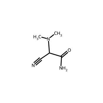 CN(C)C(C#N)C(N)=O